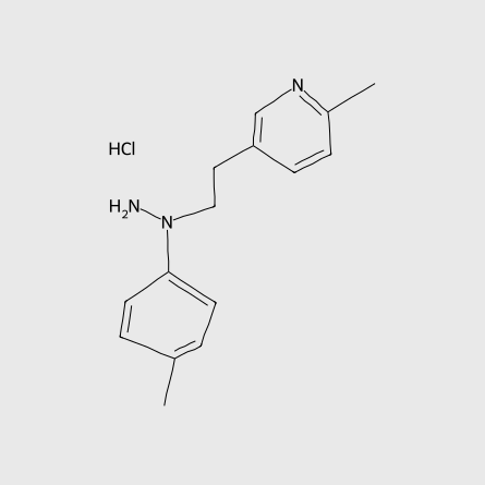 Cc1ccc(N(N)CCc2ccc(C)nc2)cc1.Cl